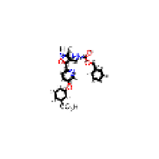 Cc1noc(-c2ccc(OC3CCCC(C(=O)O)C3)cn2)c1CNC(=O)OCc1ccccc1